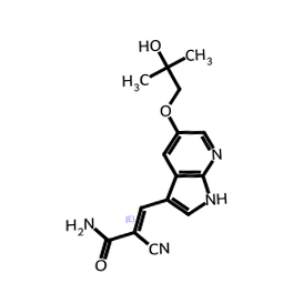 CC(C)(O)COc1cnc2[nH]cc(/C=C(\C#N)C(N)=O)c2c1